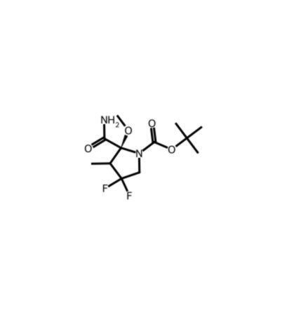 CO[C@]1(C(N)=O)C(C)C(F)(F)CN1C(=O)OC(C)(C)C